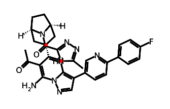 CC(=O)c1c([C@@H]2C[C@H]3CC[C@@H](C2)N3C(=O)c2nnc(C)[nH]2)nc2c(-c3ccc(-c4ccc(F)cc4)nc3)cnn2c1N